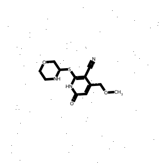 COCc1cc(=O)[nH]c(SC2COCCN2)c1C#N